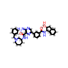 Nc1ncc(-c2cccc(C(=O)N[C@H]3c4ccccc4C[C@@H]3O)c2)nc1C(=O)N[C@H]1CCCCN(Cc2ccccc2)C1